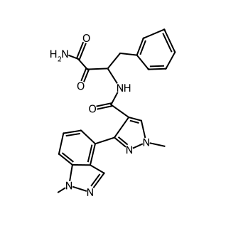 Cn1cc(C(=O)NC(Cc2ccccc2)C(=O)C(N)=O)c(-c2cccc3c2cnn3C)n1